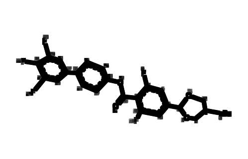 CCCCC1COC(c2cc(F)c(C(=O)Oc3ccc(-c4cc(F)c(F)c(F)c4)cc3)c(F)c2)OC1